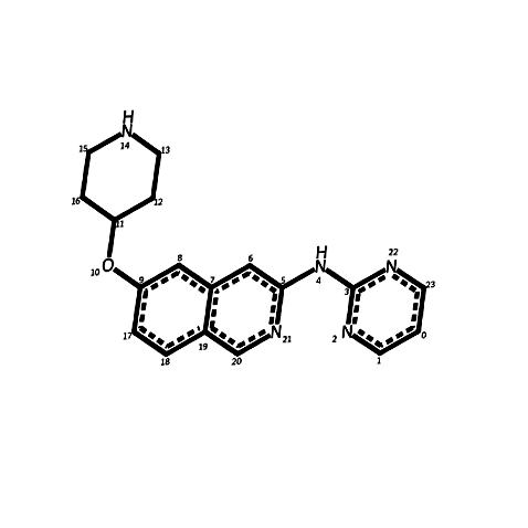 c1cnc(Nc2cc3cc(OC4CCNCC4)ccc3cn2)nc1